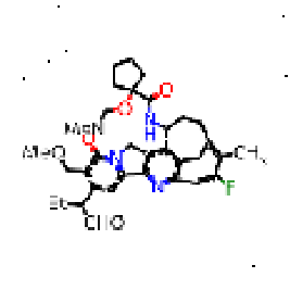 CCC(C=O)c1cc2n(c(=O)c1COC)Cc1c-2nc2c3c1C(NC(=O)C1(OCNC)CCCC1)CCC(=C(C)C(F)=C2)C3